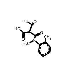 Cc1ccccc1N(C)C(=O)C(C(=O)O)C(=O)O